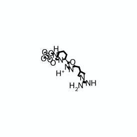 N=C(N)N1CC(Cc2nnc([C@@H]3CC[C@@H]4CN3C(=O)N4OS(=O)(=O)[O-])o2)C1.[H+]